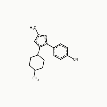 Cc1cc(N2CCN(C)CC2)n(-c2ccc(C#N)cc2)n1